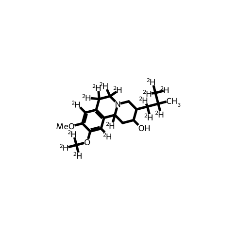 [2H]c1c(OC([2H])([2H])[2H])c(OC)c([2H])c2c1C1([2H])CC(O)C(C([2H])([2H])C([2H])(C)C([2H])([2H])[2H])CN1C([2H])([2H])C2([2H])[2H]